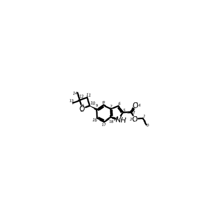 CCOC(=O)c1cc2cc([C@@H]3CC(C)(C)O3)ccc2[nH]1